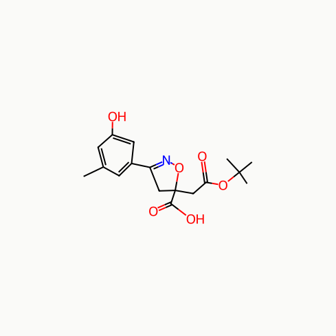 Cc1cc(O)cc(C2=NOC(CC(=O)OC(C)(C)C)(C(=O)O)C2)c1